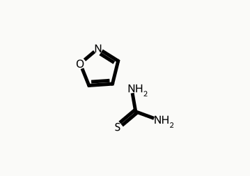 NC(N)=S.c1cnoc1